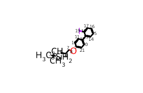 CC(C)(C)[SiH2]CCCOc1ccc(-c2ccccc2I)cc1